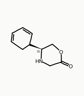 O=C1CN[C@@H](C2C=CC=CC2)CO1